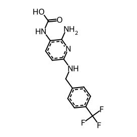 Nc1nc(NCc2ccc(C(F)(F)F)cc2)ccc1NC(=O)O